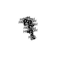 CCS(=O)(=O)N/N=C(\C)CC1OC(CO)[C@@H](OC2OC(CO)[C@@H](OC3OC(C)[C@@H](NC4C=C(CO)[C@@H](O)[C@H](O)[C@H]4O)[C@H](O)[C@H]3O)[C@H](O)[C@H]2O)[C@H](O)[C@H]1O